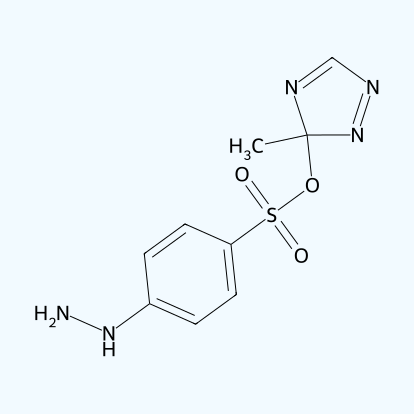 CC1(OS(=O)(=O)c2ccc(NN)cc2)N=CN=N1